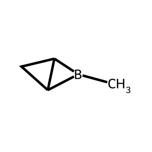 CB1C2CC12